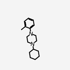 Cc1ccccc1N1CCN(C2CCCCC2)CC1